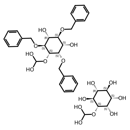 OC(O)O[C@@H]1[C@@H](O)[C@H](O)[C@@H](O)[C@H](O)[C@@H]1O.OC(O)O[C@@H]1[C@@H](OCc2ccccc2)[C@H](O)[C@@H](OCc2ccccc2)[C@H](O)[C@@H]1OCc1ccccc1